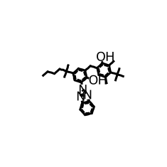 CCCCC(C)(C)c1cc(Cc2cc(C)c(C(C)(C)C)c(C)c2O)c(O)c(-n2n3c4ccccc4n23)c1